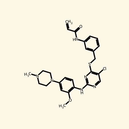 C=CC(=O)Nc1cccc(CSc2nc(Nc3ccc(N4CCN(C)CC4)cc3OC)ncc2Cl)c1